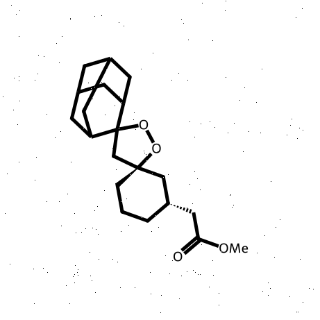 COC(=O)C[C@@H]1CCC[C@@]2(C1)CC1(OO2)C2CC3CC(C2)CC1C3